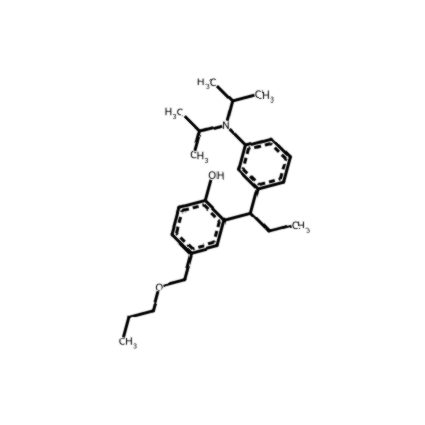 CCCOCc1ccc(O)c(C(CC)c2cccc(N(C(C)C)C(C)C)c2)c1